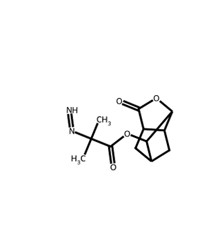 CC(C)(N=N)C(=O)OC1C2CC3C(=O)OC1C3C2